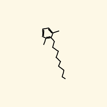 CCCCCCCCCc1c(C)[c]ccc1C